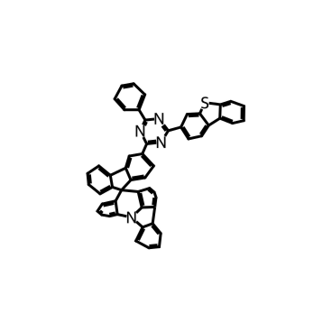 c1ccc(-c2nc(-c3ccc4c(c3)-c3ccccc3C43c4ccccc4-n4c5ccccc5c5cccc3c54)nc(-c3ccc4c(c3)sc3ccccc34)n2)cc1